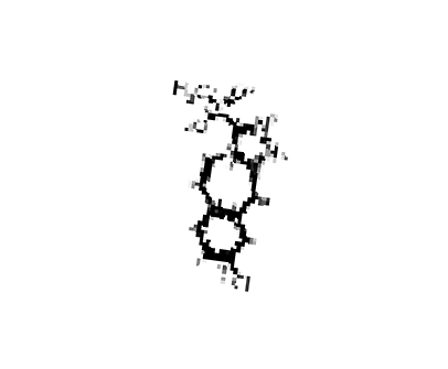 CS(=O)(=O)c1nnc2n1C=Cc1ccc(Cl)cc1C2